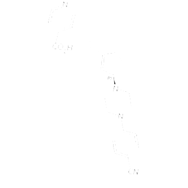 N#Cc1ccc(N2CCN([C@H]3C=C(C#Cc4cnccc4C(=O)O)CC3)CC2)cc1